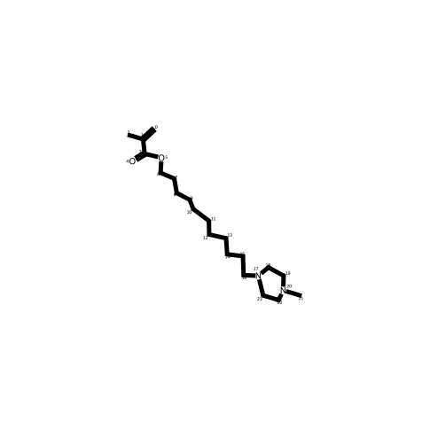 C=C(C)C(=O)OCCCCCCCCCCCN1CCN(C)CC1